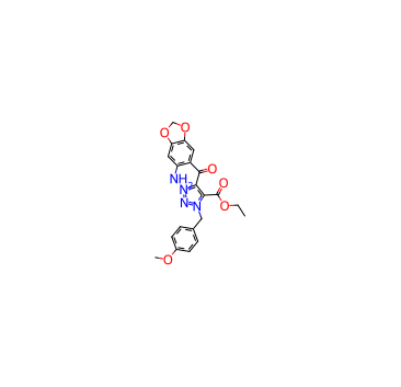 CCOC(=O)c1c(C(=O)c2cc3c(cc2N)OCO3)nnn1Cc1ccc(OC)cc1